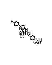 CCOc1nc(NCc2ccc(NS(C)(=O)=O)cc2)nc2ccc(-c3ccc(F)cc3)nc12